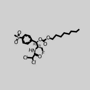 CCCCCCCCOC(=O)O[C@H](c1ccc(S(C)(=O)=O)cc1)[C@@H](CF)NC(=O)C(Cl)Cl